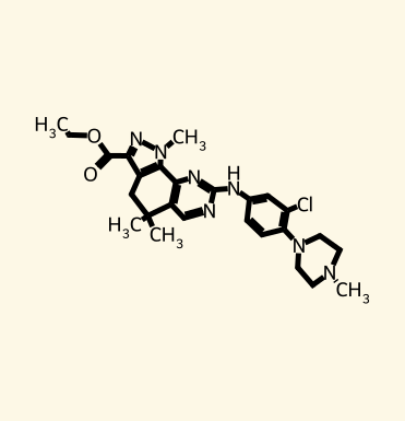 CCOC(=O)c1nn(C)c2c1CC(C)(C)c1cnc(Nc3ccc(N4CCN(C)CC4)c(Cl)c3)nc1-2